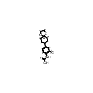 O=C(O)Nc1ccc(C2CCC3(CC2)OCCO3)cc1Cl